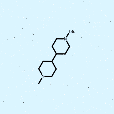 CN1CCC(C2CCN(C(C)(C)C)CC2)CC1